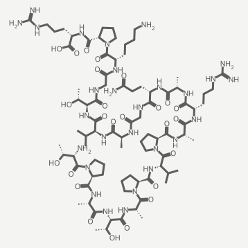 CC(C)[C@H](NC(=O)[C@H](C)NC(=O)CNC(=O)[C@H](CCC(N)=O)NC(=O)[C@H](C)NC(=O)[C@H](CCCNC(=N)N)NC(=O)[C@H](C)NC(=O)[C@@H]1CCCN1C(=O)[C@@H](NC(=O)[C@@H]1CCCN1C(=O)[C@H](C)NC(=O)[C@@H](NC(=O)[C@H](C)NC(=O)[C@@H]1CCCN1C(=O)[C@@H](N)[C@@H](C)O)[C@@H](C)O)C(C)C)C(=O)N[C@H](C(=O)NCC(=O)N[C@@H](CCCCN)C(=O)N1CCC[C@H]1C(=O)N[C@@H](CCCNC(=N)N)C(=O)O)[C@@H](C)O